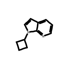 c1cnc2c(c1)ccn2C1CCC1